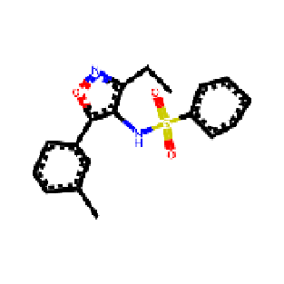 CCc1noc(-c2cccc(C)c2)c1NS(=O)(=O)c1ccccc1